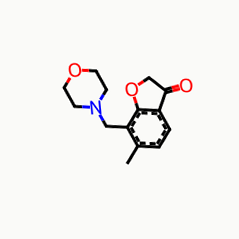 Cc1ccc2c(c1CN1CCOCC1)OCC2=O